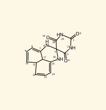 O=C1NC(=O)C2(NC3=CC=CC4C=CC=C(N2)C34)C(=O)N1